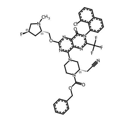 CN1C[C@H](F)C[C@H]1COc1nc(N2CCN(C(=O)OCc3ccccc3)[C@@H](CC#N)C2)c2nc(C(F)(F)F)n(-c3cccc4cccc(Cl)c34)c(=O)c2n1